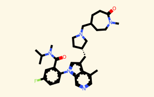 Cc1cncc2c1c(C[C@@H]1CCN(CC3CCC(=O)N(C)CC3)C1)cn2-c1ccc(F)cc1C(=O)N(C)C(C)C